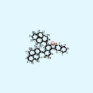 c1ccc2cc3c(cc2c1)oc1c(-c2ccc4ccc5cccc6ccc2c4c56)cc2c(-c4ccc5ccc6cccc7ccc4c5c67)cccc2c13